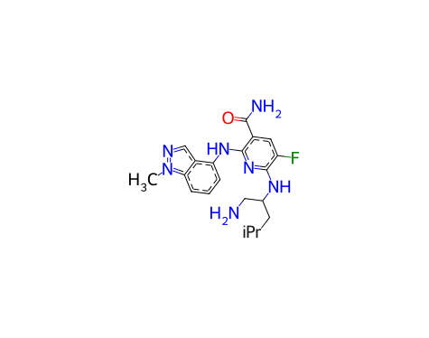 CC(C)CC(CN)Nc1nc(Nc2cccc3c2cnn3C)c(C(N)=O)cc1F